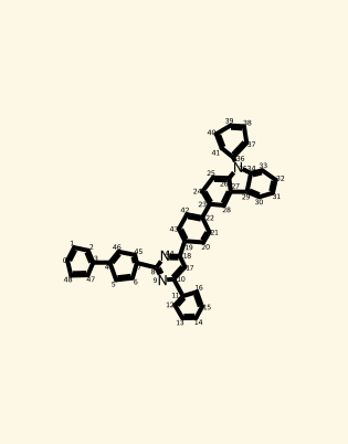 c1ccc(-c2ccc(-c3nc(-c4ccccc4)cc(-c4ccc(-c5ccc6c(c5)c5ccccc5n6-c5ccccc5)cc4)n3)cc2)cc1